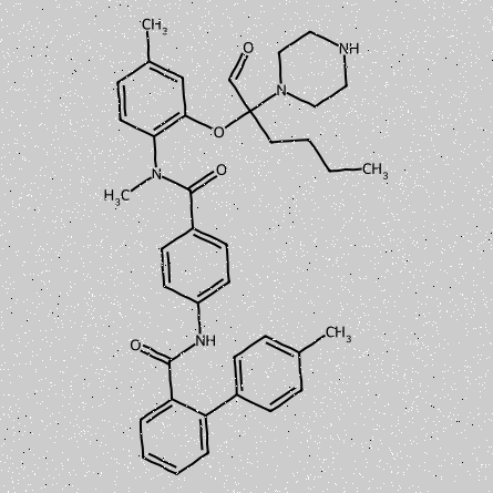 CCCCC(C=O)(Oc1cc(C)ccc1N(C)C(=O)c1ccc(NC(=O)c2ccccc2-c2ccc(C)cc2)cc1)N1CCNCC1